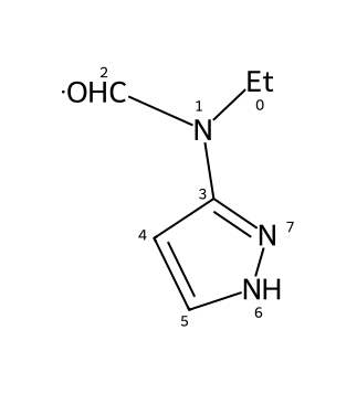 CCN([C]=O)c1cc[nH]n1